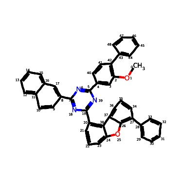 COc1cc(-c2nc(-c3ccc4ccccc4c3)nc(-c3cccc4oc5c(-c6ccccc6)cccc5c34)n2)ccc1-c1ccccc1